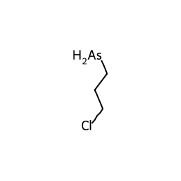 ClCCC[AsH2]